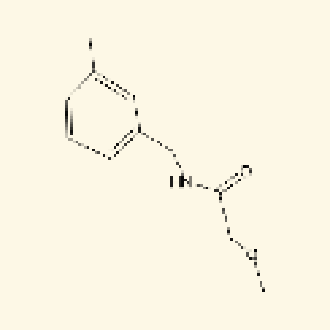 COCC(=O)NCc1cccc(C)c1